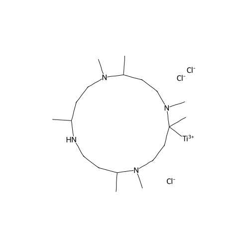 CC1CCN(C)C(C)CCN(C)[C](C)([Ti+3])CCN(C)C(C)CCN1.[Cl-].[Cl-].[Cl-]